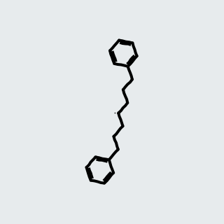 [CH](CCCc1ccccc1)CCCc1ccccc1